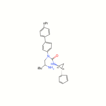 CCCc1ccc(-c2ccc(N(CC(N)C(C)CC)C(=O)N[C@H]3C[C@@H]3c3ccccc3)cc2)cc1